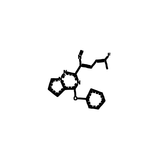 C=N/C(=C\C=C(/C)F)c1nc(Oc2ccccc2)c2cccn2n1